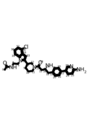 CC(=O)NCCn1c(C2CCCN(C(=O)C[C@H](N)Cc3ccc(-c4ccc(N)nc4)cc3)C2)cc2c(Cl)cccc21